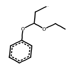 [CH2]CC(OCC)Oc1ccccc1